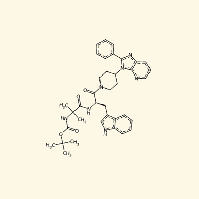 CC(C)(C)OC(=O)NC(C)(C)C(=O)N[C@H](Cc1c[nH]c2ccccc12)C(=O)N1CCC(n2c(-c3ccccc3)nc3cccnc32)CC1